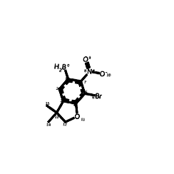 Bc1cc2c(c(Br)c1[N+](=O)[O-])OCC2(C)C